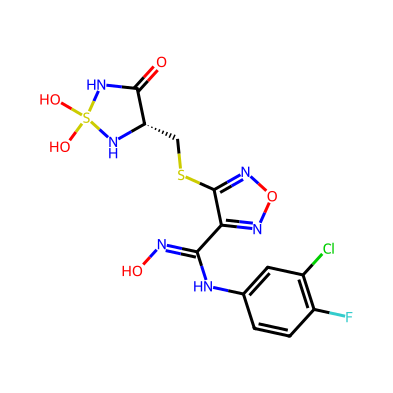 O=C1NS(O)(O)N[C@H]1CSc1nonc1/C(=N/O)Nc1ccc(F)c(Cl)c1